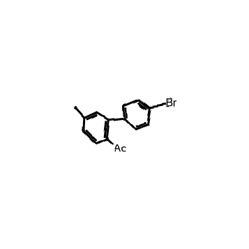 CC(=O)c1ccc(C)cc1-c1ccc(Br)cc1